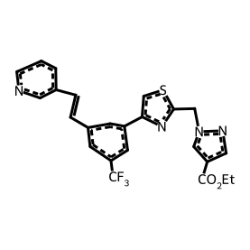 CCOC(=O)c1cnn(Cc2nc(-c3cc(C=Cc4cccnc4)cc(C(F)(F)F)c3)cs2)c1